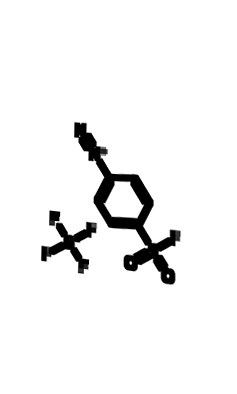 F[B-](F)(F)F.N#[N+]c1ccc(S(=O)(=O)F)cc1